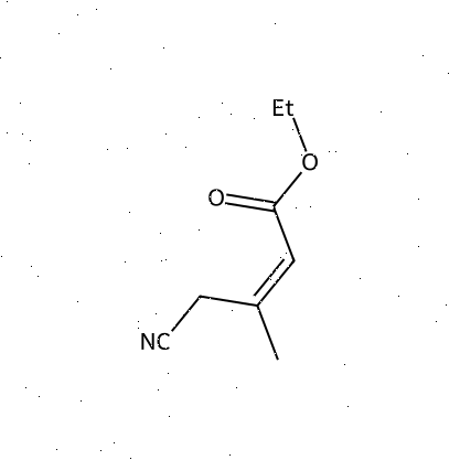 CCOC(=O)C=C(C)CC#N